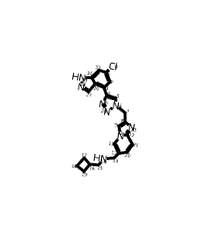 Clc1cc(-c2cn(Cc3cn4cc(CNCC5CCC5)ccc4n3)nn2)c2cn[nH]c2c1